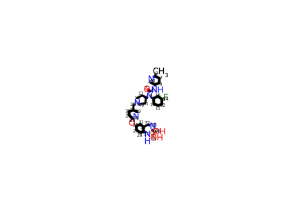 Cc1ccc(NC(=O)N(c2cccc(F)c2)C2CCN(Cc3ccc(Oc4ccc5c(c4)C=NS(O)(O)N5)nc3)CC2)cn1